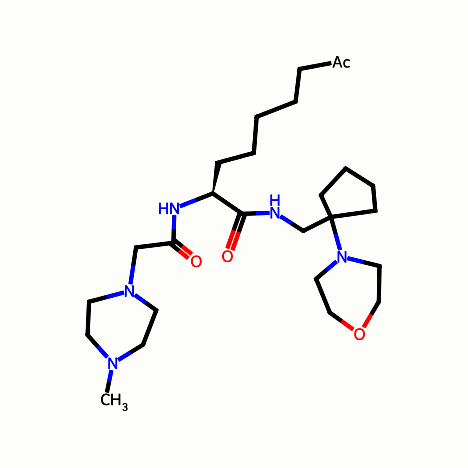 CC(=O)CCCCC[C@H](NC(=O)CN1CCN(C)CC1)C(=O)NCC1(N2CCOCC2)CCCC1